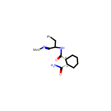 CON=CC(CC(C)C)NC(=O)[C@@H]1CCCC[C@@H]1C(N)=O